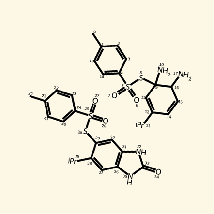 Cc1ccc(S(=O)(=O)SC2(N)C=C(C(C)C)C=CC2N)cc1.Cc1ccc(S(=O)(=O)Sc2cc3[nH]c(=O)[nH]c3cc2C(C)C)cc1